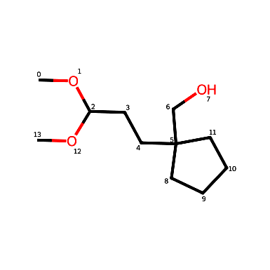 COC(CCC1(CO)CCCC1)OC